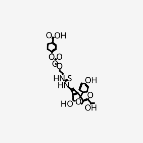 CC1=C(C(C)O)OC2C=C(O)C=CC2C12OC(O)c1cc(NC(=S)NCCOOC(=O)OC3=CC=C(C(=O)O)CC3)ccc12